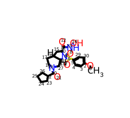 COc1ccc(S(=O)(=O)N2[C@H](C(=O)NO)C[C@@H]3CCN(C(=O)C4CCCC4)C[C@@H]32)cc1